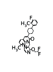 Cc1ccc2cc(C3CCC(c4cccc(F)c4C)CC3)c(=O)n(Cc3nccnc3OCC(F)F)c2n1